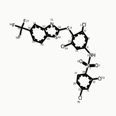 O=S(=O)(Nc1cc(Cl)c(Sc2nc3cc(C(F)(F)F)ccc3s2)c(Cl)c1)c1ccc(Cl)cc1Cl